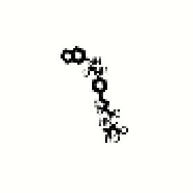 CC(C)[C@](C)(NC(=O)c1cc(-c2ccc(NC(=O)Nc3ccc4c(c3)CCC4)cc2)no1)C(=O)O